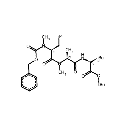 CC[C@H](C)[C@H](NC(=O)[C@H](C)N(C)C(=O)[C@H](CC(C)C)N(C)C(=O)OCc1ccccc1)C(=O)OC(C)(C)C